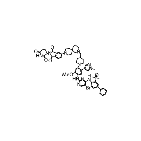 COc1cc(N2CCC(CN3CCCC4(CCN(c5ccc6c(c5)C(=O)N(C5CCC(=O)NC5=O)C6=O)CC4)C3)CC2)c(-c2cnn(C)c2)cc1Nc1ncc(Br)c(Nc2ccc(-c3ccccc3)cc2P(C)(C)=O)n1